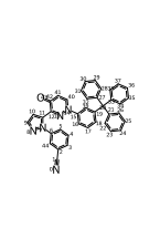 N#Cc1cccc(-n2nccc2-c2nn(-c3cccc(C(c4ccccc4)(c4ccccc4)c4ccccc4)c3)ccc2=O)c1